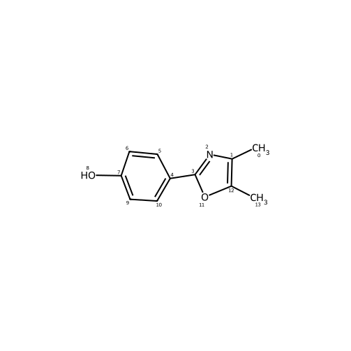 Cc1nc(-c2ccc(O)cc2)oc1C